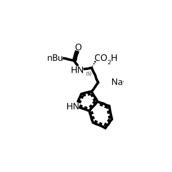 CCCCC(=O)N[C@@H](Cc1c[nH]c2ccccc12)C(=O)O.[Na]